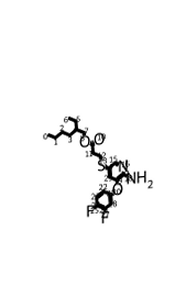 CCCCC(CC)COC(=O)CCSc1cnc(N)c(Oc2ccc(F)c(F)c2)c1